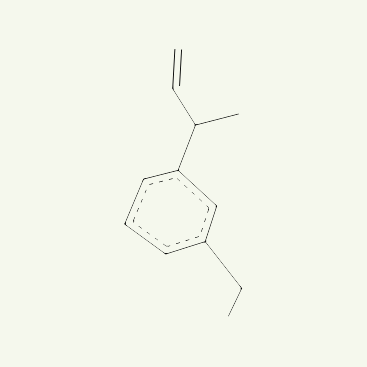 [CH2]Cc1cccc(C(C)C=C)c1